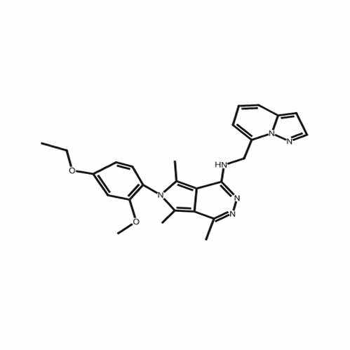 CCOc1ccc(-n2c(C)c3c(C)nnc(NCc4cccc5ccnn45)c3c2C)c(OC)c1